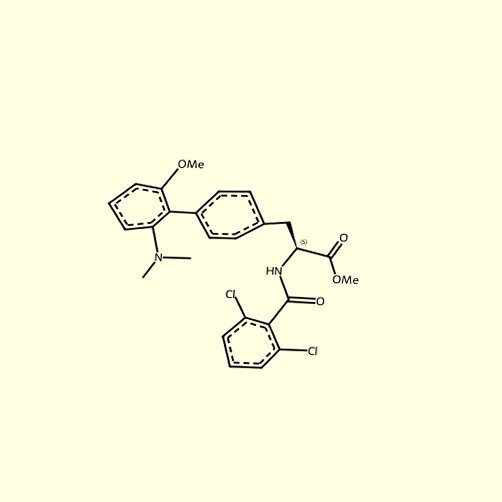 COC(=O)[C@H](Cc1ccc(-c2c(OC)cccc2N(C)C)cc1)NC(=O)c1c(Cl)cccc1Cl